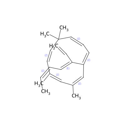 C=CC(=C\C=C/C)/C1=C\C=C/C(C)(C)/C=C\C(C)=C/C(C)=C\1